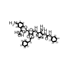 Nc1ccc(OCC2OC(Nc3ncnc(NC(=O)Nc4ccccc4)c3N)C3OC(Cc4ccccc4)OC23)c(C(=O)NO)c1